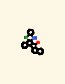 O=C1c2c(Nc3ccccc3Cl)cc3ccccc3c2-c2ccc3ccccc3c21